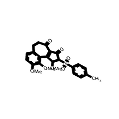 COc1ccc2c(c1OC)C1=C(C(=O)CC2)C(=O)C(S(=O)(=O)c2ccc(C)cc2)C1OC